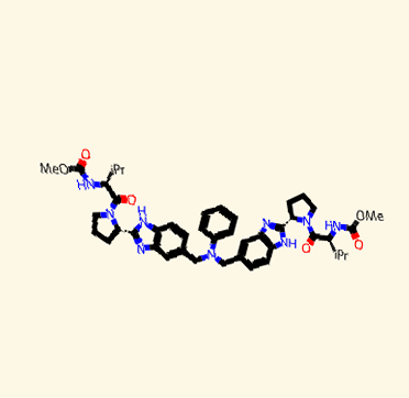 COC(=O)N[C@H](C(=O)N1CCC[C@H]1c1nc2cc(CN(Cc3ccc4[nH]c([C@@H]5CCCN5C(=O)[C@@H](NC(=O)OC)C(C)C)nc4c3)c3ccccc3)ccc2[nH]1)C(C)C